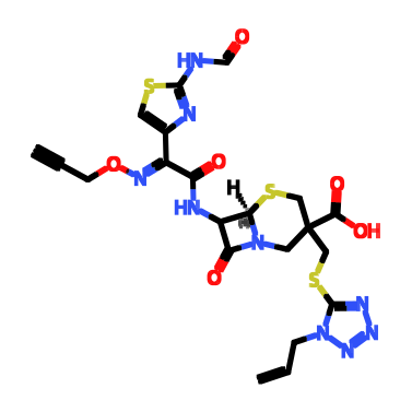 C#CCON=C(C(=O)NC1C(=O)N2CC(CSc3nnnn3CC=C)(C(=O)O)CS[C@H]12)c1csc(NC=O)n1